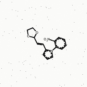 O=[N+]([O-])c1ccccc1-n1cccc1/C=C/C1OCCO1